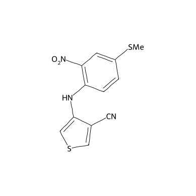 CSc1ccc(Nc2cscc2C#N)c([N+](=O)[O-])c1